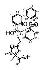 CCCCC(C)(C(C)O)C(C)O.O=C(O)c1ccccc1.O=P(O)(c1ccccc1)c1ccccc1